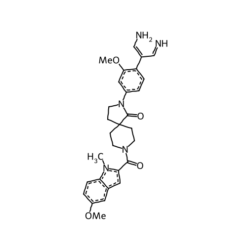 COc1ccc2c(c1)cc(C(=O)N1CCC3(CC1)CCN(c1ccc(/C(C=N)=C/N)c(OC)c1)C3=O)n2C